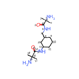 CC(C)(N)C(=O)NCC1CCCC(NC(=O)C(C)(C)N)C1